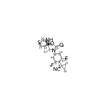 CC1N(c2cc(F)c(C3(C#N)CC3)c(F)c2)C(=O)O[C@@]12Nc1nc2cs1